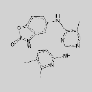 Cc1ccc(Nc2ncc(C)c(Nc3ccc4oc(=O)[nH]c4c3)n2)nc1C